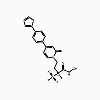 C[C@@](CCn1ccc(-c2ccc(-c3cncs3)cc2)cc1=O)(C(=O)NO)S(C)(=O)=O